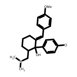 COc1ccc(/C=C2\CCCC(CN(C)C)C2(O)c2ccc(Cl)cc2)cc1